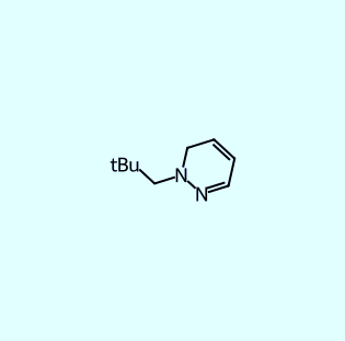 CC(C)(C)CN1CC=CC=N1